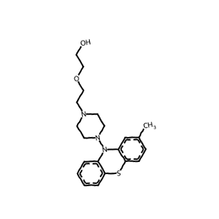 Cc1ccc2c(c1)N(N1CCN(CCOCCO)CC1)c1ccccc1S2